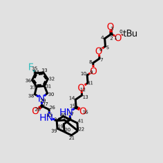 CC(C)(C)OC(=O)CCOCCOCCOCCC(=O)NC12CC3CC(CC(NCC(=O)N4Cc5ccc(F)cc5C4)(C3)C1)C2